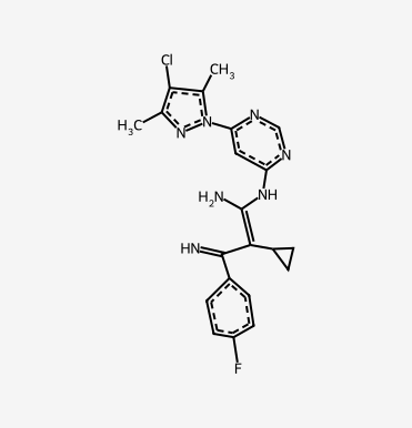 Cc1nn(-c2cc(N/C(N)=C(/C(=N)c3ccc(F)cc3)C3CC3)ncn2)c(C)c1Cl